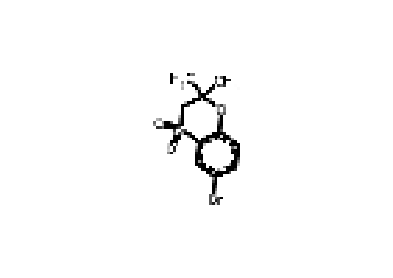 CC1(C)CS(=O)(=O)c2cc(Br)ccc2O1